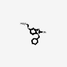 CC(C)(C)c1nc2cc(SCC(=O)O)ccc2n1CC1CCCCC1